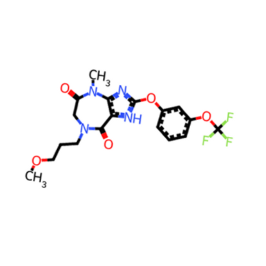 COCCCN1CC(=O)N(C)c2nc(Oc3cccc(OC(F)(F)F)c3)[nH]c2C1=O